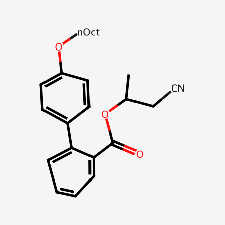 CCCCCCCCOc1ccc(-c2ccccc2C(=O)OC(C)CC#N)cc1